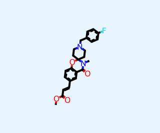 COC(=O)C=Cc1ccc2c(c1)C(=O)N(C)C1(CCN(Cc3ccc(F)cc3)CC1)O2